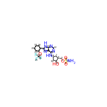 NS(=O)(=O)OC[C@@H]1C[C@@H](Nc2ncnc3[nH]c(-c4ccccc4OC(F)(F)F)nc23)C[C@@H]1O